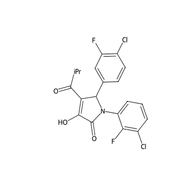 CC(C)C(=O)C1=C(O)C(=O)N(c2cccc(Cl)c2F)C1c1ccc(Cl)c(F)c1